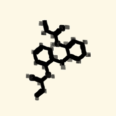 C=CC(=O)Oc1ccccc1Sc1ccccc1OC(=O)C=C